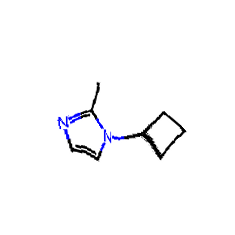 Cc1nccn1C1CCC1